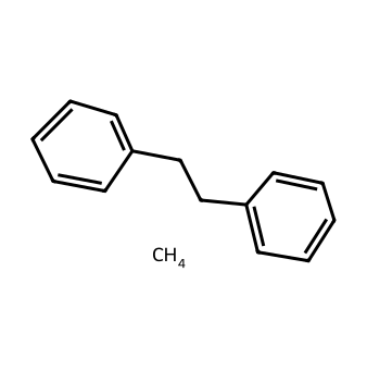 C.c1ccc(CCc2ccccc2)cc1